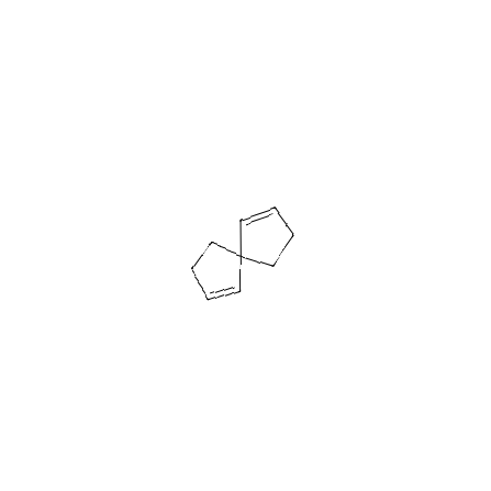 C1=CC2(C=CCC2)CC1